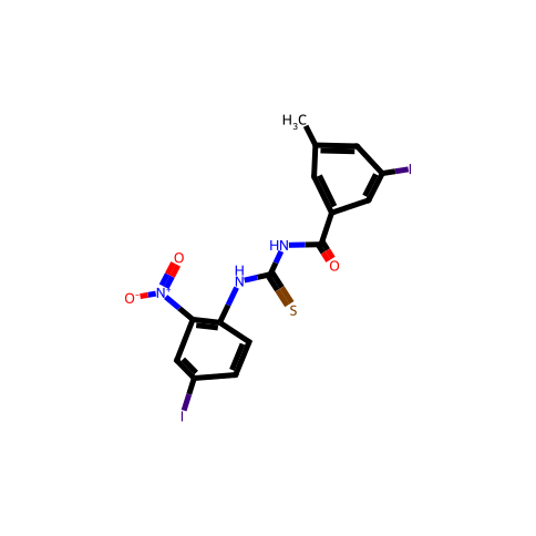 Cc1cc(I)cc(C(=O)NC(=S)Nc2ccc(I)cc2[N+](=O)[O-])c1